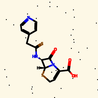 O=C(O)C1=CCS[C@@H]2[C@H](NC(=S)Cc3ccncc3)C(=O)N12